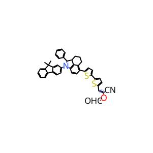 CC1(C)c2ccccc2-c2ccc(N3c4ccc(-c5ccc(-c6ccc(/C=C(\C#N)OC=O)s6)s5)c5c4C(CCC5)C3c3ccccc3)cc21